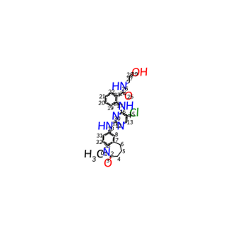 CN1C(=O)CCCc2cc(Nc3ncc(Cl)c(Nc4ccccc4C(=O)NCCO)n3)ccc21